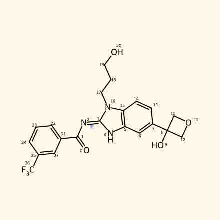 O=C(/N=c1\[nH]c2cc(C3(O)COC3)ccc2n1CCCO)c1cccc(C(F)(F)F)c1